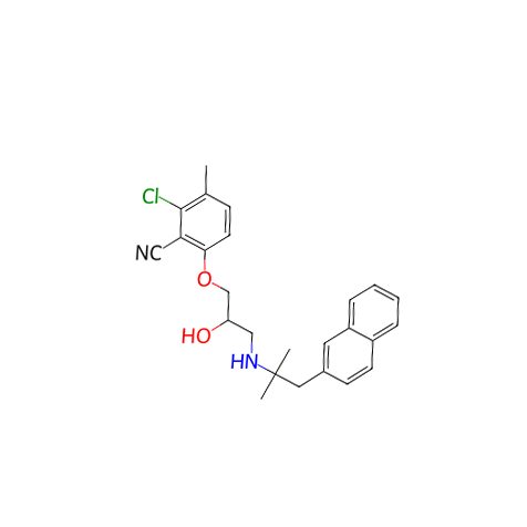 Cc1ccc(OCC(O)CNC(C)(C)Cc2ccc3ccccc3c2)c(C#N)c1Cl